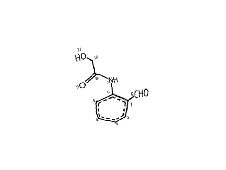 O=Cc1ccccc1NC(=O)CO